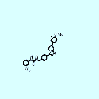 COc1ccc(-c2ccn3c(-c4ccc(CNC(=O)Nc5cccc(C(F)(F)F)c5)cc4)cnc3c2)cn1